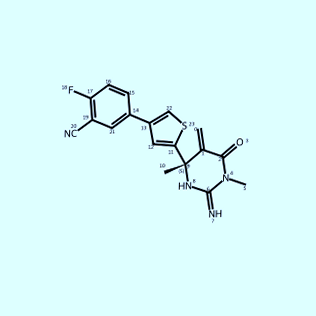 C=C1C(=O)N(C)C(=N)N[C@]1(C)c1cc(-c2ccc(F)c(C#N)c2)cs1